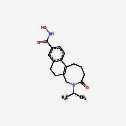 CC(C)N1CC2=C(CCCC1=O)c1ccc(C(=O)NO)cc1CC2